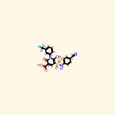 Cc1c(S(=O)(=O)Nc2ccc(C#N)cc2)cc(C(=O)O)c(=O)n1-c1cccc(C(F)(F)F)c1